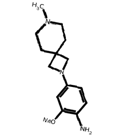 COc1cc(N2CC3(CCN(C)CC3)C2)ccc1N